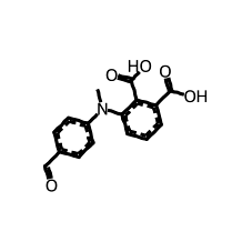 CN(c1ccc(C=O)cc1)c1cccc(C(=O)O)c1C(=O)O